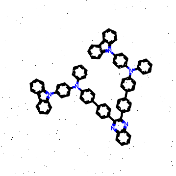 c1ccc(N(c2ccc(-c3ccc(-c4nc5ccccc5nc4-c4ccc(-c5ccc(N(c6ccccc6)c6ccc(-n7c8ccccc8c8ccccc87)cc6)cc5)cc4)cc3)cc2)c2ccc(-n3c4ccccc4c4ccccc43)cc2)cc1